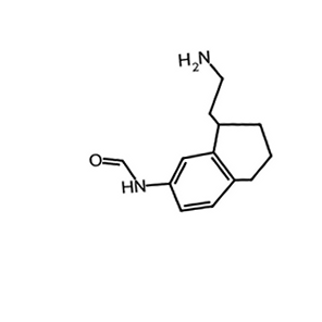 NCCC1CCCc2ccc(NC=O)cc21